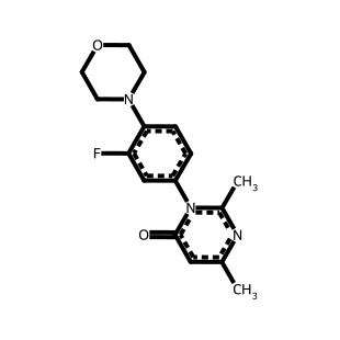 Cc1cc(=O)n(-c2ccc(N3CCOCC3)c(F)c2)c(C)n1